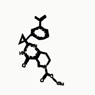 C=C(C)c1cccc(C2(c3nc4c(c(=O)[nH]3)CN(C(=O)OC(C)(C)C)CC4)CC2)c1